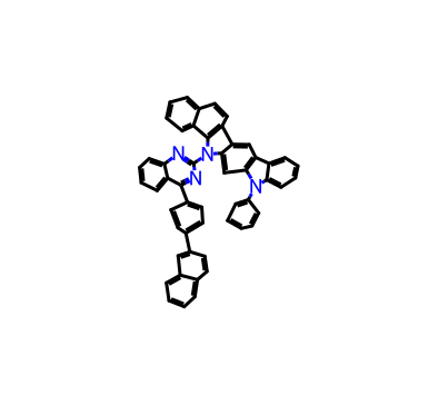 c1ccc(-n2c3ccccc3c3cc4c5ccc6ccccc6c5n(-c5nc(-c6ccc(-c7ccc8ccccc8c7)cc6)c6ccccc6n5)c4cc32)cc1